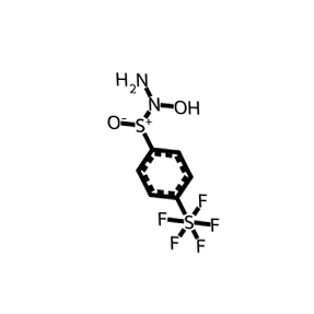 NN(O)[S+]([O-])c1ccc(S(F)(F)(F)(F)F)cc1